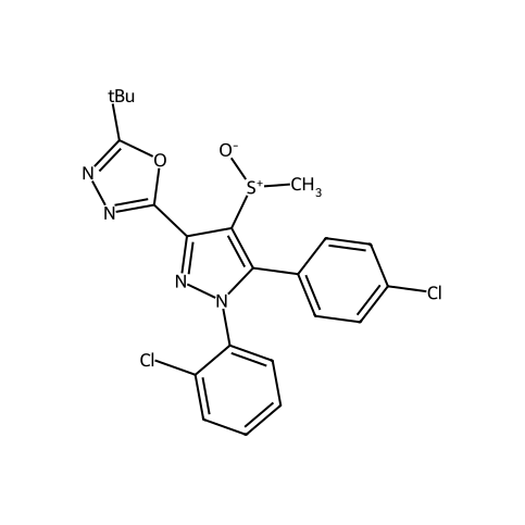 C[S+]([O-])c1c(-c2nnc(C(C)(C)C)o2)nn(-c2ccccc2Cl)c1-c1ccc(Cl)cc1